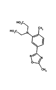 Cc1nc(-c2ccc(C)c(N(CC(=O)O)CC(=O)O)c2)no1